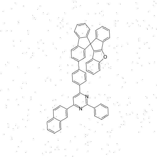 c1ccc(-c2nc(-c3ccc(-c4ccc5c(c4)C4(c6ccccc6-5)c5ccccc5-c5oc6ccccc6c54)cc3)cc(-c3ccc4ccccc4c3)n2)cc1